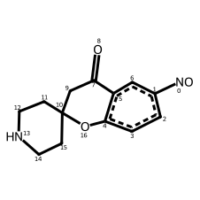 O=Nc1ccc2c(c1)C(=O)CC1(CCNCC1)O2